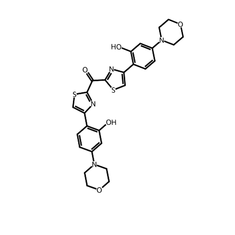 O=C(c1nc(-c2ccc(N3CCOCC3)cc2O)cs1)c1nc(-c2ccc(N3CCOCC3)cc2O)cs1